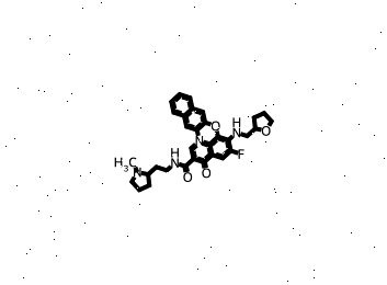 CN1CCCC1CCNC(=O)c1cn2c3c(c(NCC4CCCO4)c(F)cc3c1=O)Oc1cc3ccccc3cc1-2